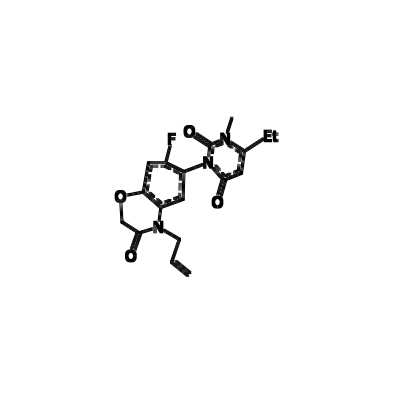 C=CCN1C(=O)COc2cc(F)c(-n3c(=O)cc(CC)n(C)c3=O)cc21